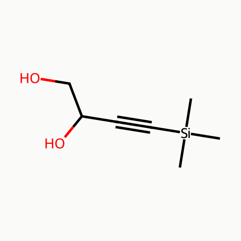 C[Si](C)(C)C#CC(O)CO